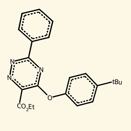 CCOC(=O)c1nnc(-c2ccccc2)nc1Oc1ccc(C(C)(C)C)cc1